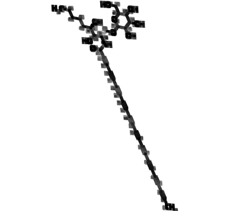 CC#CC#CC#CC#CC#CC#CC#CC#CC#CC#CC(=O)N[C@@H](COC1OC(CO)C(O)C(O)C1O)[C@H](O)[C@H](O)CCCCC